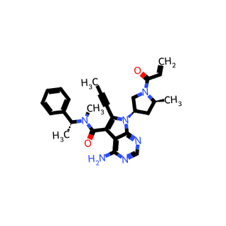 C=CC(=O)N1C[C@H](n2c(C#CC)c(C(=O)N(C)[C@H](C)c3ccccc3)c3c(N)ncnc32)C[C@@H]1C